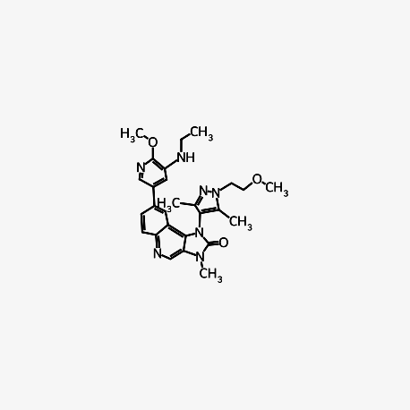 CCNc1cc(-c2ccc3ncc4c(c3c2)n(-c2c(C)nn(CCOC)c2C)c(=O)n4C)cnc1OC